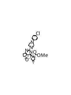 COC(=O)[C@@H]1C[C@@H](C)CN1c1nc(N2CCN(c3ccc(Cl)cc3)CC2)nc2c1[S+]([O-])CC2